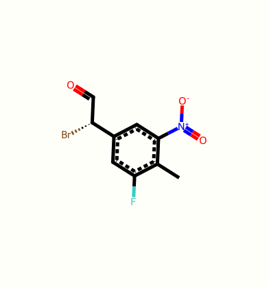 Cc1c(F)cc([C@H](Br)C=O)cc1[N+](=O)[O-]